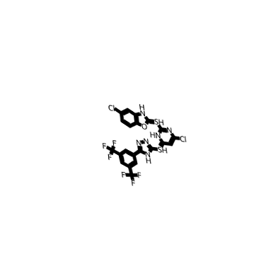 FC(F)(F)c1cc(-c2nnc([SH]=c3cc(Cl)nc([SH]=c4[nH]c5cc(Cl)ccc5o4)[nH]3)[nH]2)cc(C(F)(F)F)c1